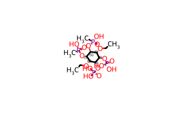 CCO[C@@H]1[C@H](OP(C)(=O)O)[C@@H](OP(C)(=O)O)[C@H](OCC)[C@@H](OP(=O)(O)O)[C@@H]1OP(=O)(O)O